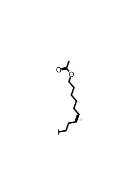 CC(=O)OCCCCC/C=C\CCI